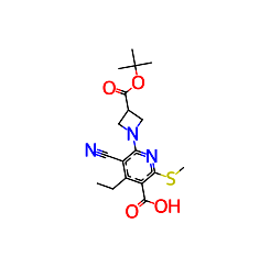 CCc1c(C#N)c(N2CC(C(=O)OC(C)(C)C)C2)nc(SC)c1C(=O)O